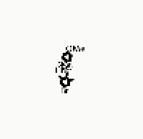 COc1ccc(S(=O)(=O)NCc2c(C)cc(Br)cc2C)cc1